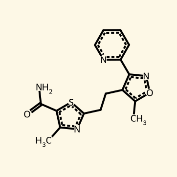 Cc1nc(CCc2c(-c3ccccn3)noc2C)sc1C(N)=O